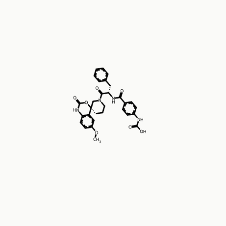 COc1ccc2c(c1)[C@@]1(CCCN(C(=O)[C@H](Cc3ccccc3)NC(=O)c3ccc(NC(=O)O)cc3)C1)OC(=O)N2